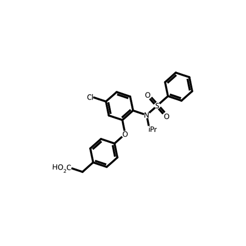 CC(C)N(c1ccc(Cl)cc1Oc1ccc(CC(=O)O)cc1)S(=O)(=O)c1ccccc1